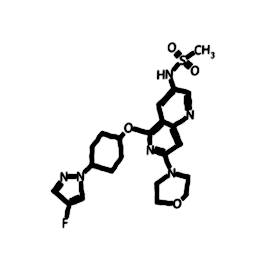 CS(=O)(=O)Nc1cnc2cc(N3CCOCC3)nc(OC3CCC(n4cc(F)cn4)CC3)c2c1